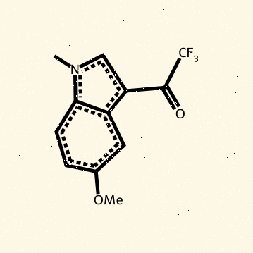 COc1ccc2c(c1)c(C(=O)C(F)(F)F)cn2C